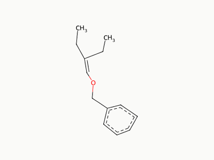 CCC(=COCc1ccccc1)CC